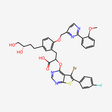 COc1ccccc1-c1nccc(COc2ccc(CC[C@H](O)CO)cc2CC(Oc2ncnc3sc(-c4ccc(F)cc4)c(Br)c23)C(=O)O)n1